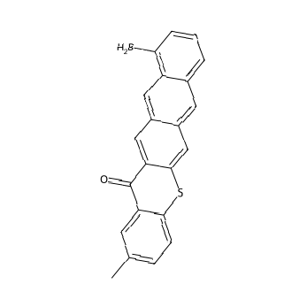 Bc1cccc2cc3cc4sc5ccc(C)cc5c(=O)c4cc3cc12